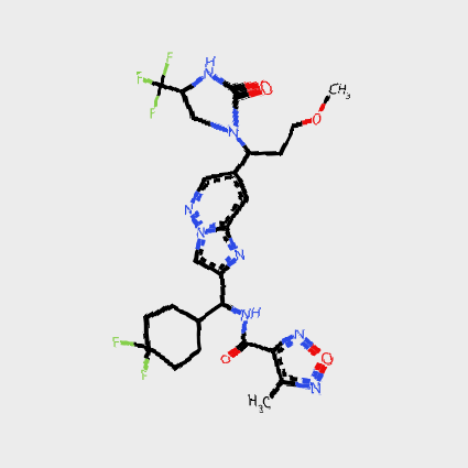 COCCC(c1cnn2cc(C(NC(=O)c3nonc3C)C3CCC(F)(F)CC3)nc2c1)N1CC(C(F)(F)F)NC1=O